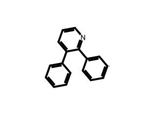 [c]1cccc(-c2ncccc2-c2ccccc2)c1